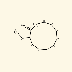 CCC1CCCCCCCCNC1=O